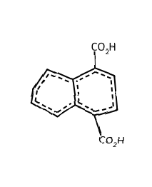 O=C(O)c1ccc(C(=O)O)c2ccccc12